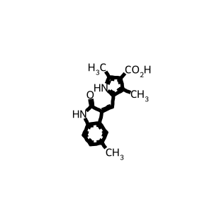 Cc1ccc2c(c1)/C(=C/c1[nH]c(C)c(C(=O)O)c1C)C(=O)N2